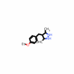 CCOc1ccc(CC2C(C)NNC2C=O)cc1